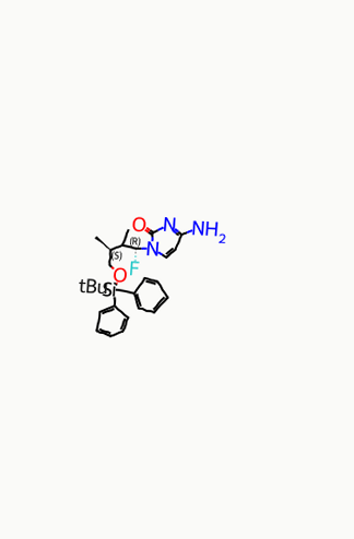 CC([C@H](C)CO[Si](c1ccccc1)(c1ccccc1)C(C)(C)C)[C@@H](F)n1ccc(N)nc1=O